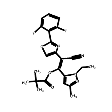 CCn1nc(C)cc1/C(OC(=O)C(C)(C)C)=C(\C#N)c1coc(-c2c(F)cccc2F)n1